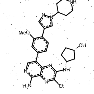 CCc1nc2c(N)ncc(-c3ccc(-c4cnn(C5CCNCC5)c4)c(OC)c3)c2nc1N[C@@H]1CC[C@H](O)C1